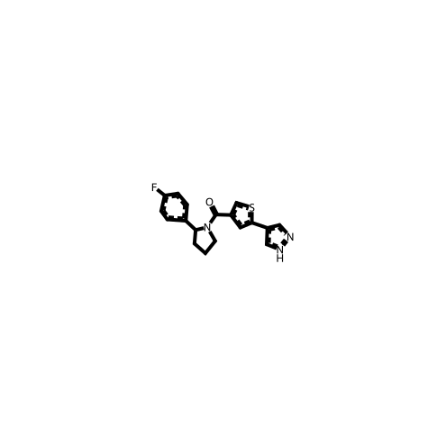 O=C(c1csc(-c2cn[nH]c2)c1)N1CCCC1c1ccc(F)cc1